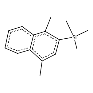 Cc1cc([Si](C)(C)C)c(C)c2ccccc12